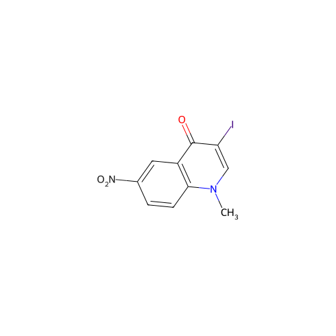 Cn1cc(I)c(=O)c2cc([N+](=O)[O-])ccc21